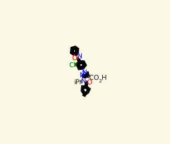 CC1CCC(C(=O)N(c2nn(-c3ccc(-c4nc5ccccc5o4)c(Cl)c3)cc2C(=O)O)C(C)C)CC1